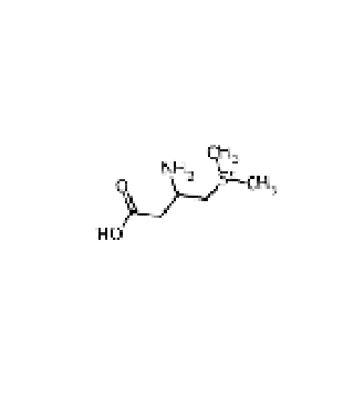 C[S+](C)CC(N)CC(=O)O